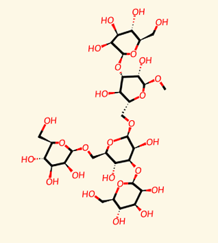 CO[C@H]1O[C@H](CO[C@@H]2O[C@H](CO[C@@H]3O[C@H](CO)[C@@H](O)[C@H](O)[C@@H]3O)[C@@H](O)[C@H](O[C@@H]3O[C@H](CO)[C@@H](O)[C@H](O)[C@@H]3O)[C@@H]2O)[C@@H](O)[C@H](O[C@@H]2O[C@H](CO)[C@@H](O)[C@H](O)[C@@H]2O)[C@@H]1O